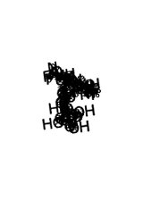 N#C[C@@H]1CC(F)(F)CN1C(=O)CNC(=O)c1ccnc2ccc(-c3ccc(OCCN(CCOc4ccc(-c5ccc6nccc(C(=O)NCC(=O)N7CC(F)(F)C[C@H]7C#N)c6c5)cc4)C(=O)CNC(=O)CN4CCN(CC(=O)O)CCN(CC(=O)O)CCN(CC(=O)O)CC4)cc3)cc12